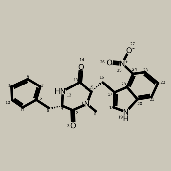 CN1C(=O)[C@H](Cc2ccccc2)NC(=O)[C@@H]1Cc1c[nH]c2cccc([N+](=O)[O-])c12